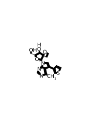 Cc1ncnc2c1c(-c1ccsc1)cn2[C@@H]1O[C@H](CO)[C@@H](O)[C@]12CCO2